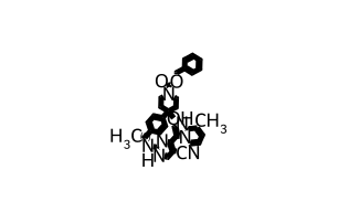 Cc1cccn2c(-c3nc(N[C@@H](C)c4ccc(C5(O)CCN(C(=O)OCc6ccccc6)CC5)cc4)ncc3C#N)cnc12